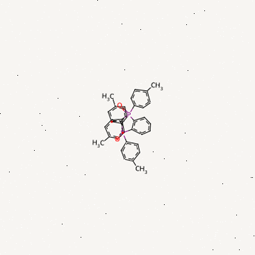 Cc1ccc(P(=O)(c2ccc(C)cc2)c2ccccc2P(=O)(c2ccc(C)cc2)c2ccc(C)cc2)cc1